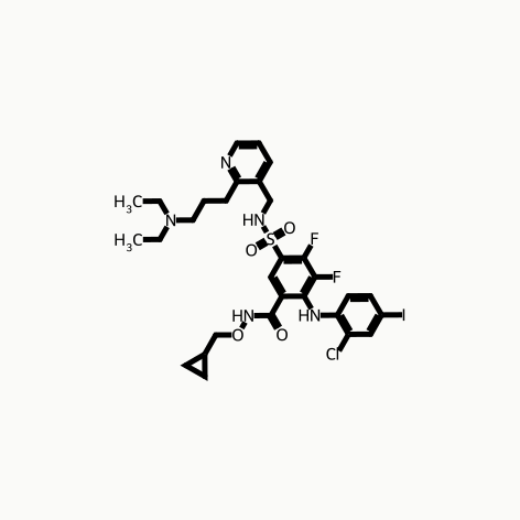 CCN(CC)CCCc1ncccc1CNS(=O)(=O)c1cc(C(=O)NOCC2CC2)c(Nc2ccc(I)cc2Cl)c(F)c1F